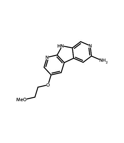 COCCOc1cnc2[nH]c3cnc(N)cc3c2c1